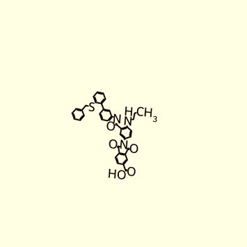 CCCNc1ccc(N2C(=O)c3ccc(C(=O)O)cc3C2=O)cc1-c1nc2cc(-c3ccccc3SCc3ccccc3)ccc2o1